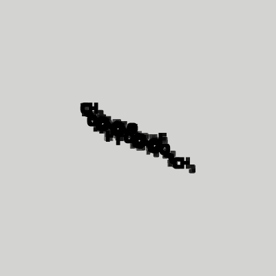 CCCCOc1ccc(-c2ccc(OC(=O)c3ccc(-c4ccc(OCCC)cc4)c(F)c3F)cc2)cc1F